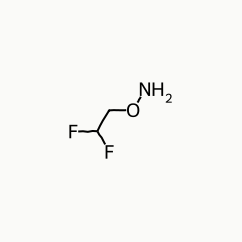 NOCC(F)F